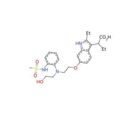 CCc1[nH]c2cc(OCCN(CCO)c3ccccc3NS(C)(=O)=O)ccc2c1C(CC)C(=O)O